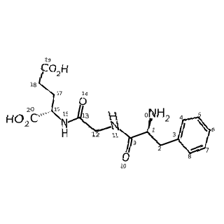 N[C@@H](Cc1ccccc1)C(=O)NCC(=O)N[C@@H](CCC(=O)O)C(=O)O